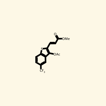 COC(=O)C=Cc1sc2ccc(C(F)(F)F)cc2c1OC(C)=O